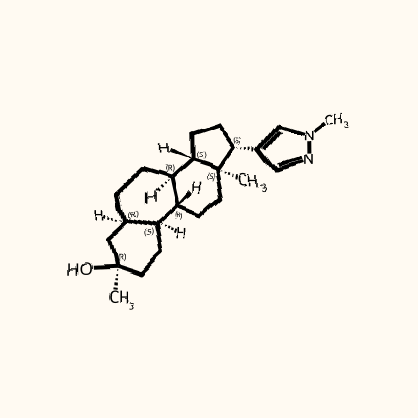 Cn1cc([C@H]2CC[C@H]3[C@@H]4CC[C@@H]5C[C@](C)(O)CC[C@@H]5[C@H]4CC[C@]23C)cn1